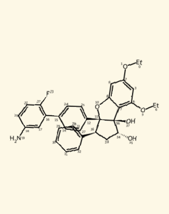 CCOc1cc(OCC)c2c(c1)O[C@@]1(c3ccc(-c4cc(N)ccc4F)cc3)[C@H](c3ccccc3)C[C@@H](O)[C@@]21O